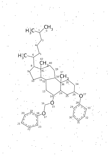 CC(C)CCCC(C)C1CCC2C3CC(OCOc4ccccc4)C4CC(Oc5ccccc5)CCC4(C)C3CCC12C